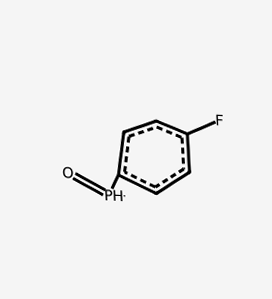 O=[PH]c1ccc(F)cc1